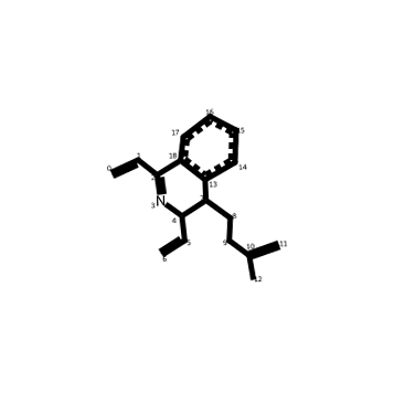 C=CC1=NC(C=C)C(CCC(=C)C)c2ccccc21